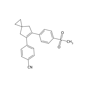 CS(=O)(=O)c1ccc(C2=C(c3ccc(C#N)cc3)CC3(CC3)C2)cc1